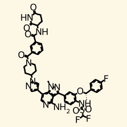 C[C@H](Oc1cc(-c2nn(C)c3c(-c4cnn(C5CCN(C(=O)c6cccc(C(=O)NC7CCC(=O)NC7=O)c6)CC5)c4)cnc(N)c23)ccc1NS(=O)(=O)C(F)F)c1ccc(F)cc1